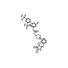 O=C1NC(=O)/C(=C\c2ccnc(N3CCC(CNCc4cc(F)cc(-c5ccc(C(F)(F)F)cc5C(F)(F)F)n4)CC3)n2)S1